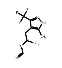 Cc1[nH]nc(C(F)(F)F)c1CC(C)OC=O